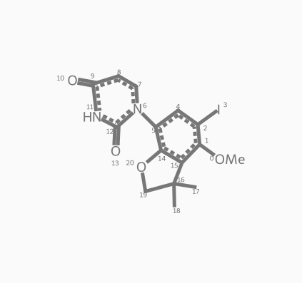 COc1c(I)cc(-n2ccc(=O)[nH]c2=O)c2c1C(C)(C)CO2